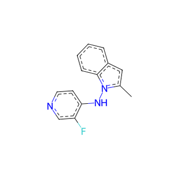 Cc1cc2ccccc2n1Nc1ccncc1F